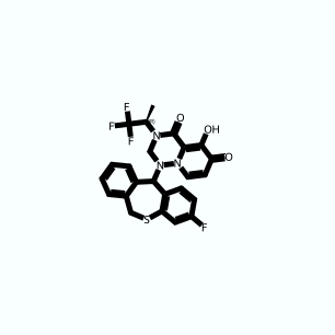 C[C@@H](N1CN(C2c3ccccc3CSc3cc(F)ccc32)n2ccc(=O)c(O)c2C1=O)C(F)(F)F